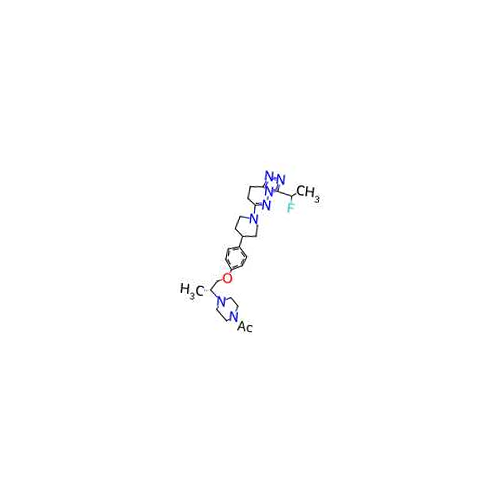 CC(=O)N1CCN([C@H](C)COc2ccc(C3CCN(C4=Nn5c(nnc5C(C)F)CC4)CC3)cc2)CC1